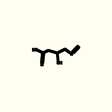 C=NCC(O)CC(=O)O